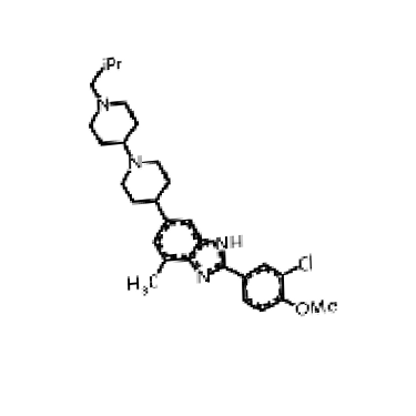 COc1ccc(-c2nc3c(C)cc(C4CCN(C5CCN(CC(C)C)CC5)CC4)cc3[nH]2)cc1Cl